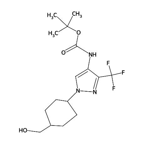 CC(C)(C)OC(=O)Nc1cn(C2CCC(CO)CC2)nc1C(F)(F)F